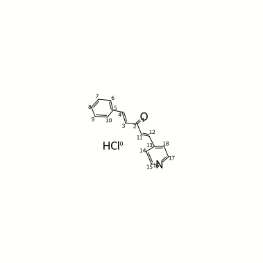 Cl.O=C(C=Cc1ccccc1)C=Cc1ccncc1